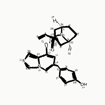 C=CC(=O)N1[C@@H]2CC[C@H]1C[C@H](Oc1cc(-c3ccc(O)cc3)cn3cncc13)C2